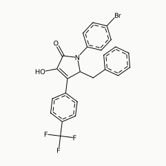 O=C1C(O)=C(c2ccc(C(F)(F)F)cc2)C(Cc2ccccc2)N1c1ccc(Br)cc1